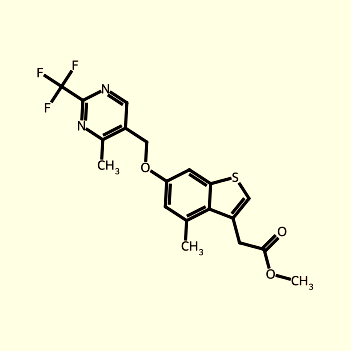 COC(=O)Cc1csc2cc(OCc3cnc(C(F)(F)F)nc3C)cc(C)c12